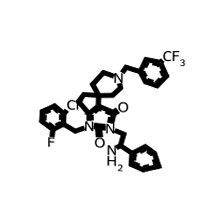 NC(Cn1c(=O)c2c(n(Cc3c(F)cccc3C(F)(F)F)c1=O)CCC21CCN(Cc2cccc(C(F)(F)F)c2)CC1)c1ccccc1